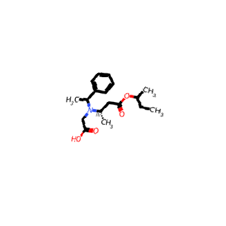 CCC(C)OC(=O)C[C@H](C)N(CC(=O)O)C(C)c1ccccc1